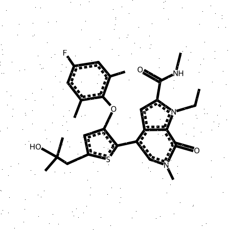 CCn1c(C(=O)NC)cc2c(-c3sc(CC(C)(C)O)cc3Oc3c(C)cc(F)cc3C)cn(C)c(=O)c21